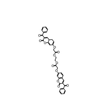 O=C(COC1=CCC2C=C(C(=O)c3ccccc3)C(=O)OC2=C1)OCCOC(=O)COc1ccc2cc(C(=O)c3ccccc3)c(=O)oc2c1